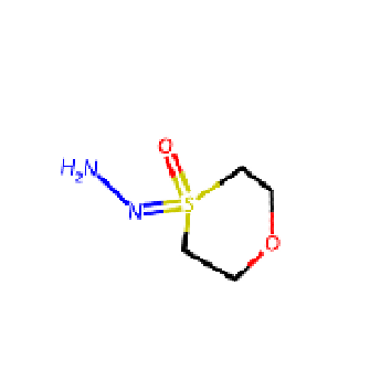 NN=S1(=O)CCOCC1